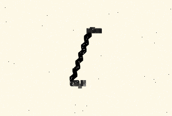 CCCCCCCCCC=CCC=CCCCCCCCC(=O)O